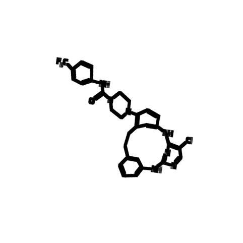 O=C(Nc1ccc(C(F)(F)F)cc1)N1CCN(c2ccc3cc2CCc2cccc(c2)Nc2ncc(Cl)c(n2)N3)CC1